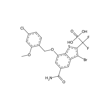 COc1cc(Cl)ccc1COc1cc(C(N)=O)cc2c(Br)c(C(F)(F)P(=O)(O)O)sc12